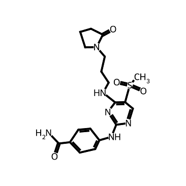 CS(=O)(=O)c1cnc(Nc2ccc(C(N)=O)cc2)nc1NCCCN1CCCC1=O